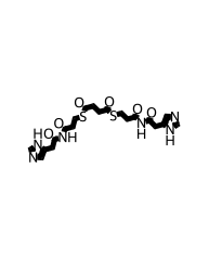 O=C(CCSC(=O)CCC(=O)SCCC(=O)NC(=O)Cc1cnc[nH]1)NC(=O)Cc1cnc[nH]1